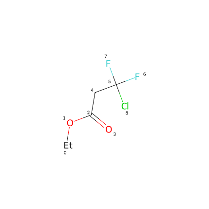 CCOC(=O)CC(F)(F)Cl